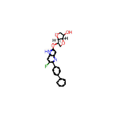 OC1CO[C@@H]2C(Oc3cc4nc(-c5ccc(-c6ccccc6)cc5)c(F)cc4[nH]3)CO[C@H]12